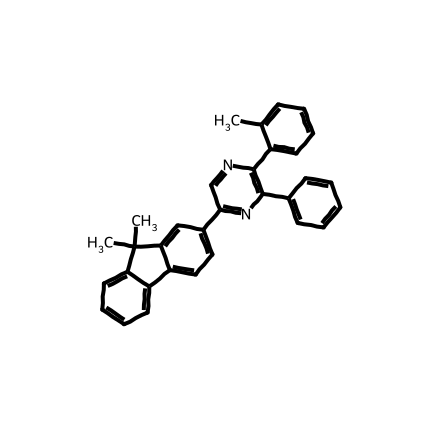 Cc1ccccc1-c1ncc(-c2ccc3c(c2)C(C)(C)c2ccccc2-3)nc1-c1ccccc1